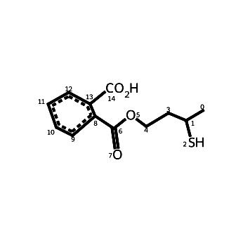 CC(S)CCOC(=O)c1ccccc1C(=O)O